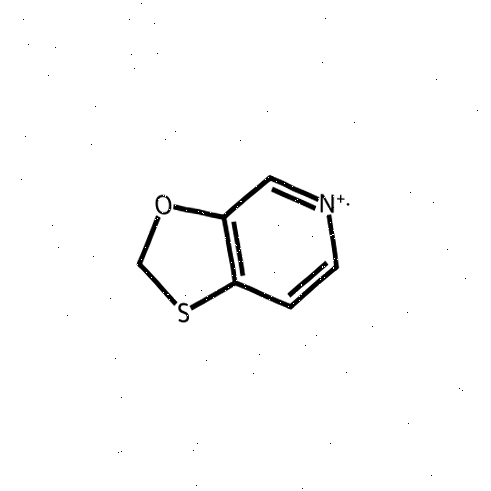 C1=CC2=C(C=[N+]1)OCS2